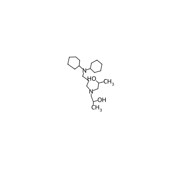 CC(O)CN(CCCN(C1CCCCC1)C1CCCCC1)CC(C)O